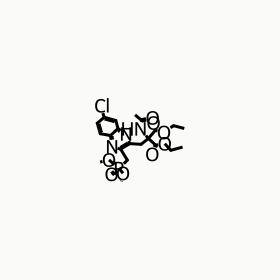 CCOC(=O)C(Cc1nc2cc(Cl)ccc2nc1CP(=O)(OC)OC)(NC(C)=O)C(=O)OCC